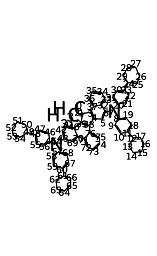 CC1(C)c2c(cc(N(c3ccc(C4CCCCC4)cc3)c3ccc(C4CCCCC4)cc3)c3ccccc23)-c2c1c1ccc(N(c3ccc(C4CCCCC4)cc3)c3ccc(C4CCCCC4)cc3)cc1c1ccccc21